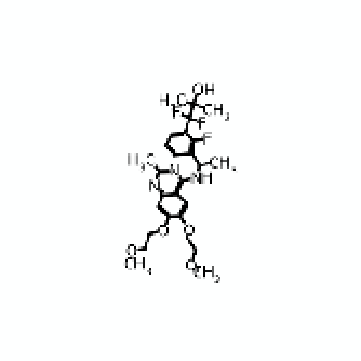 COCCOc1cc2nc(C)nc(N[C@H](C)c3cccc(C(F)(F)C(C)(C)O)c3F)c2cc1OCCOC